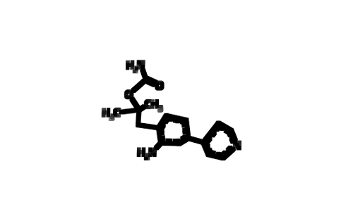 CC(C)(Cc1ccc(-c2ccncc2)cc1N)OC(N)=O